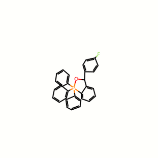 Fc1ccc(C2OP(c3ccccc3)(c3ccccc3)(c3ccccc3)c3ccccc32)cc1